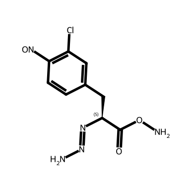 NN=N[C@@H](Cc1ccc(N=O)c(Cl)c1)C(=O)ON